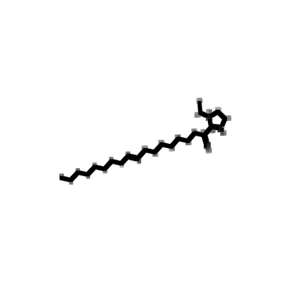 CCCCCCCCC=CCCCCCCCC(=O)C1=NCCN1CC